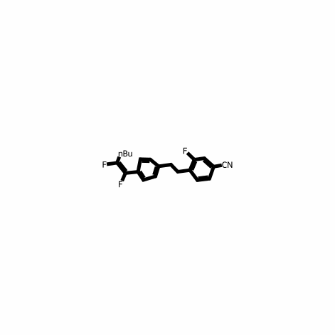 CCCC/C(F)=C(/F)c1ccc(CCc2ccc(C#N)cc2F)cc1